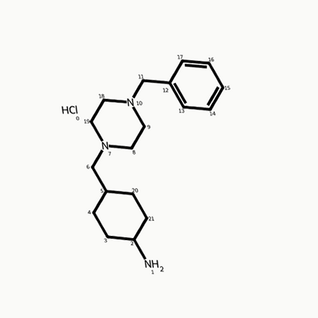 Cl.NC1CCC(CN2CCN(Cc3ccccc3)CC2)CC1